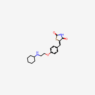 O=C1NC(=O)/C(=C/c2ccc(OCCNC3CCCCC3)cc2)S1